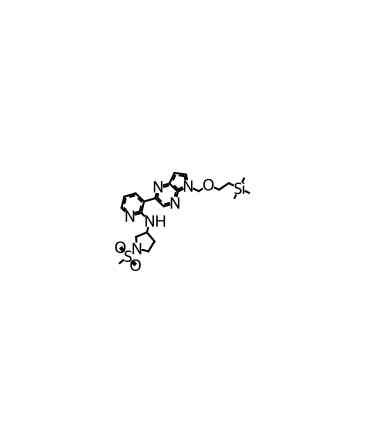 C[Si](C)(C)CCOCn1ccc2nc(-c3cccnc3NC3CCN(S(C)(=O)=O)C3)cnc21